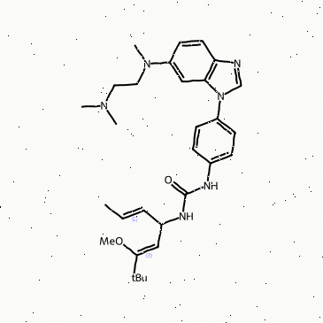 C/C=C/C(/C=C(\OC)C(C)(C)C)NC(=O)Nc1ccc(-n2cnc3ccc(N(C)CCN(C)C)cc32)cc1